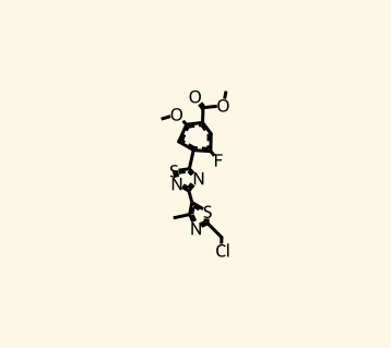 COC(=O)c1cc(F)c(-c2nc(-c3sc(CCl)nc3C)ns2)cc1OC